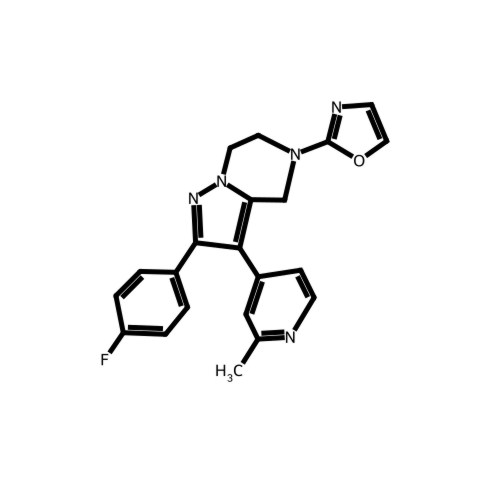 Cc1cc(-c2c(-c3ccc(F)cc3)nn3c2CN(c2ncco2)CC3)ccn1